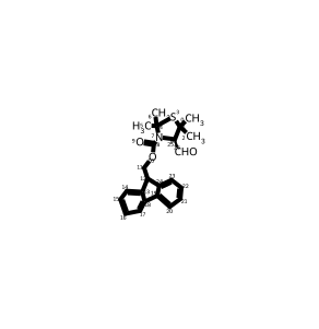 CC1(C)SC(C)(C)N(C(=O)OCC2c3ccccc3-c3ccccc32)[C@@H]1C=O